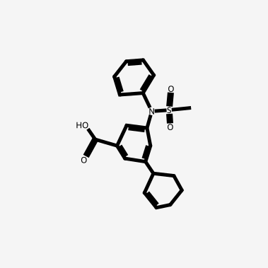 CS(=O)(=O)N(c1ccccc1)c1cc(C(=O)O)cc(C2C=CCCC2)c1